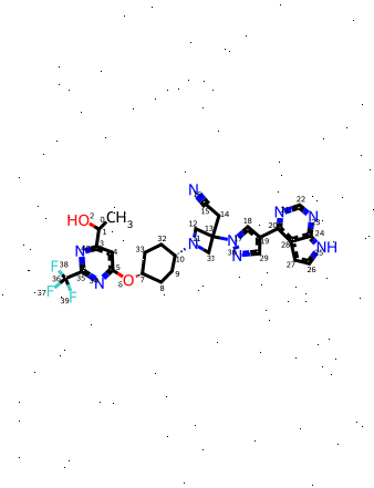 CC(O)c1cc(O[C@H]2CC[C@@H](N3CC(CC#N)(n4cc(-c5ncnc6[nH]ccc56)cn4)C3)CC2)nc(C(F)(F)F)n1